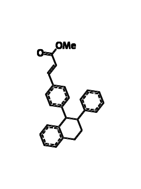 COC(=O)C=Cc1ccc(C2c3ccccc3CCC2c2ccccc2)cc1